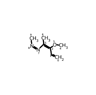 C=C/C(OC)=C(C)\N=N/C